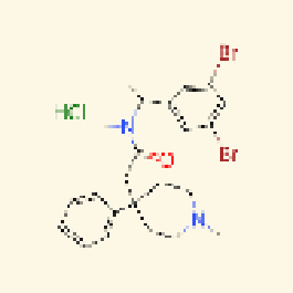 CC(c1cc(Br)cc(Br)c1)N(C)C(=O)CC1(c2ccccc2)CCN(C)CC1.Cl